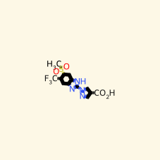 CS(=O)(=O)c1cc2[nH]c(-n3cc(C(=O)O)cn3)nc2cc1C(F)(F)F